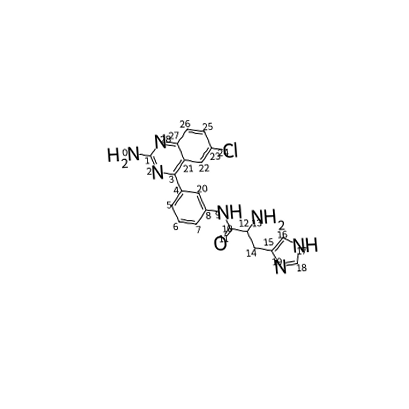 Nc1nc(-c2cccc(NC(=O)C(N)Cc3c[nH]cn3)c2)c2cc(Cl)ccc2n1